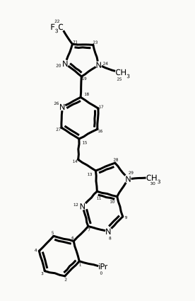 CC(C)c1ccccc1-c1ncc2c(n1)c(Cc1ccc(-c3nc(C(F)(F)F)cn3C)nc1)cn2C